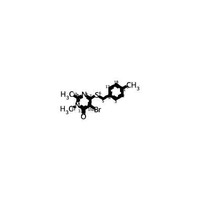 Cc1ccc(CSc2nc(C)n(C)c(=O)c2Br)cc1